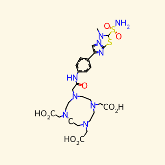 CN1C(S(N)(=O)=O)Sc2nc(-c3ccc(NC(=O)CN4CCN(CC(=O)O)CCN(CC(=O)O)CCN(CC(=O)O)CC4)cc3)cn21